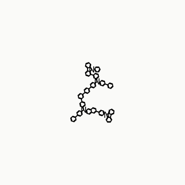 c1ccc(-c2ccc(N(c3ccc(-c4ccc(-c5cccc(-c6ccc(N(c7ccc(-c8ccccc8)cc7)c7ccc8cc(-c9ccc(-n%10c%11ccccc%11c%11ccccc%11%10)cc9)ccc8c7)cc6)c5)cc4)cc3)c3cccc(-c4cccc5c6ccccc6n(-c6ccccc6)c45)c3)cc2)cc1